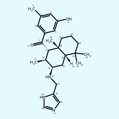 Cc1cc(O)cc(C(=O)[C@H]2[C@H](C)[C@H](NCc3cnc[nH]3)C[C@H]3C(C)(C)CCC[C@@]23C)c1